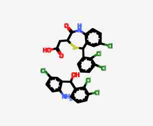 Nc1ccc(Cl)cc1C(O)c1cccc(Cl)c1Cl.O=C(O)CC1SC(c2cccc(Cl)c2Cl)c2cc(Cl)ccc2NC1=O